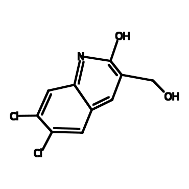 OCc1cc2cc(Cl)c(Cl)cc2nc1O